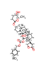 C[C@@H]1O[C@@H](O[C@H]2CC[C@@]3(C)[C@H](CC[C@@H]4[C@@H]3C[C@@H](OC(=O)OCc3ccc([N+](=O)[O-])cc3)[C@]3(C)[C@@H](C5=CC(=O)OC5)CC[C@]43O)C2)CC[C@H]1O